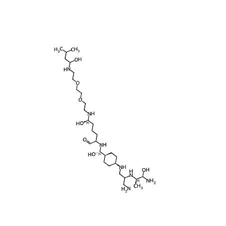 CC(C)CC(O)NCCOCCOCCN[C@H](O)CCCC(C=O)N[C@@H](O)[C@H]1CC[C@@H](NCC(CN)N[C@H](C)C(N)O)CC1